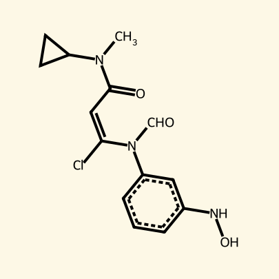 CN(C(=O)/C=C(/Cl)N(C=O)c1cccc(NO)c1)C1CC1